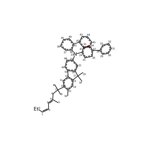 CC/C=C\C=C(/C)CC(C)(C)c1cc2c(cc1C)C(C)(C)c1cc(N(c3ccc(-c4ccccc4)cc3)c3ccccc3-c3ccccc3)ccc1-2